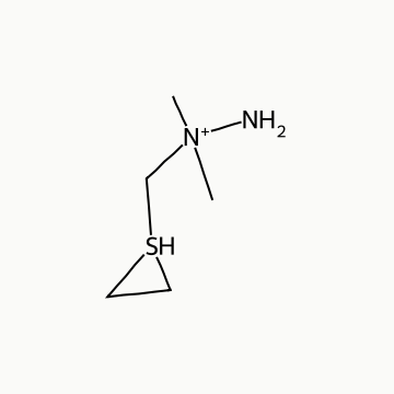 C[N+](C)(N)C[SH]1CC1